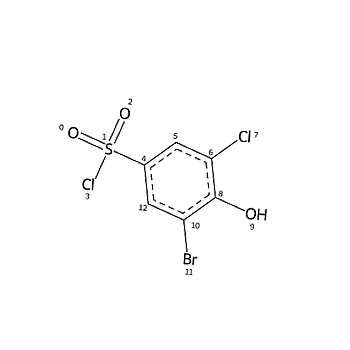 O=S(=O)(Cl)c1cc(Cl)c(O)c(Br)c1